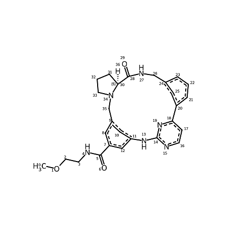 COCCNC(=O)c1cc2cc(c1)Nc1nccc(n1)-c1cccc(c1)CNC(=O)[C@@H]1CCCN1C2